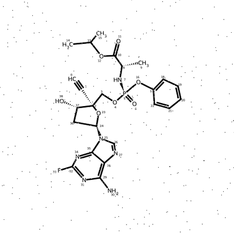 C#C[C@]1(CO[P@](=O)(N[C@@H](C)C(=O)OC(C)C)Oc2ccccc2)O[C@@H](n2cnc3c(N)nc(F)nc32)C[C@@H]1O